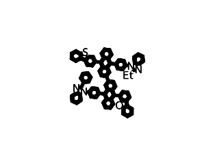 CCc1nc2ccccc2n1-c1ccc(-c2c3ccccc3c(-c3ccc4c(c3)sc3ccccc34)c3ccc(-c4ccc5c(-c6cccc7c6oc6ccccc67)c6ccccc6c(-c6ccc(-n7c(-c8ccccc8)nc8ccccc87)cc6)c5c4)cc23)cc1